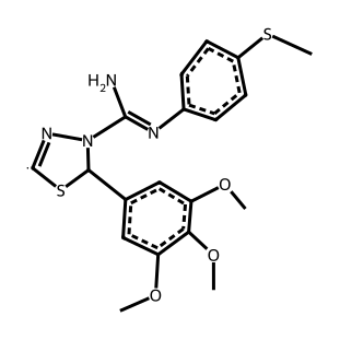 COc1cc(C2S[C]=NN2C(N)=Nc2ccc(SC)cc2)cc(OC)c1OC